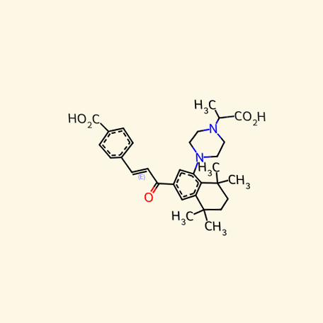 CC(C(=O)O)N1CCN(c2cc(C(=O)/C=C/c3ccc(C(=O)O)cc3)cc3c2C(C)(C)CCC3(C)C)CC1